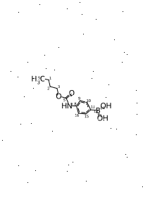 CCCCOC(=O)Nc1ccc(B(O)O)cc1